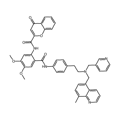 COc1cc(NC(=O)c2cc(=O)c3ccccc3o2)c(C(=O)Nc2ccc(CCN(Cc3cccnc3)Cc3ccc(C)c4ncccc34)cc2)cc1OC